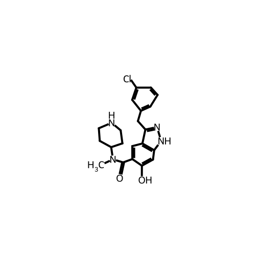 CN(C(=O)c1cc2c(Cc3cccc(Cl)c3)n[nH]c2cc1O)C1CCNCC1